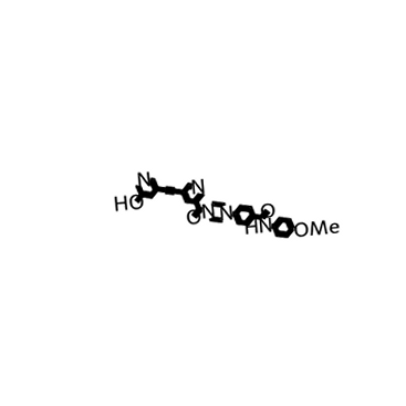 COc1ccc(NC(=O)c2ccc(N3CCN(C(=O)c4cncc(C#Cc5cncc(O)c5)c4)CC3)cc2)cc1